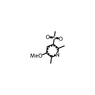 COc1cc(S(C)(=O)=O)c(C)nc1C